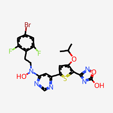 CC(C)Oc1cc(-c2cc(N(O)CCc3c(F)cc(Br)cc3F)ncn2)sc1-c1noc(O)n1